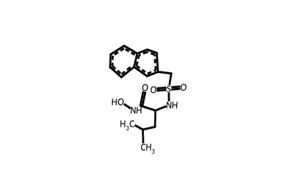 CC(C)CC(NS(=O)(=O)Cc1ccc2ccccc2c1)C(=O)NO